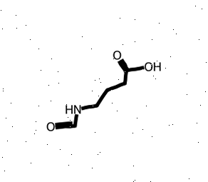 O=CNCCCC(=O)O